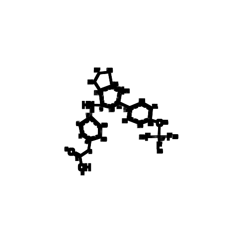 O=C(O)Cc1ccc(Nc2cc(-c3ccc(OC(F)(F)F)cc3)nc3c2CCC3)cc1